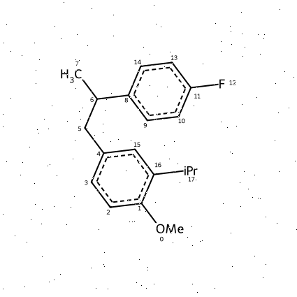 COc1ccc(CC(C)c2ccc(F)cc2)cc1C(C)C